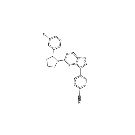 N#Cc1ccc(-c2cnc3ccc(N4CCC[C@@H]4c4cccc(F)c4)nn23)cc1